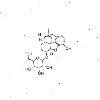 CN1CC[C@]23c4c5ccc(O)c4O[C@H]2[C@@H](OC2O[C@H](CO)[C@@H](O)[C@H](O)[C@H]2O)CC[C@H]3[C@H]1C5